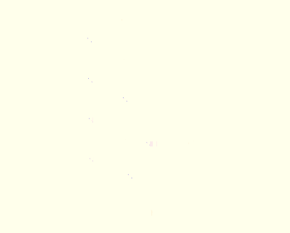 Clc1cc(Nc2ncnc3nc(-c4c(Cl)cccc4Cl)[nH]c23)ncn1